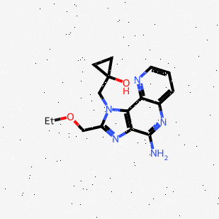 CCOCc1nc2c(N)nc3cccnc3c2n1CC1(O)CC1